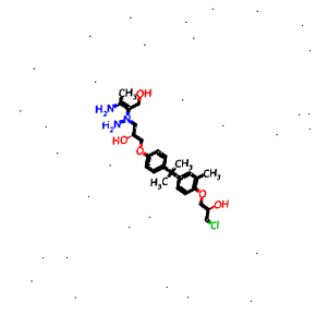 C/C(N)=C(\CO)N(N)C[C@@H](O)COc1ccc(C(C)(C)c2ccc(OC[C@@H](O)CCl)c(C)c2)cc1